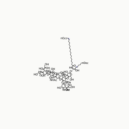 CCCCCCCC/C=C\CCCCCCCCCCCCCCCC(=O)N[C@@H](CO[C@@H]1OC(CO)[C@@H](O[C@@H]2OC(CO)[C@H](O[C@@H]3OC(CO)[C@H](O)[C@H](O[C@@H]4OC(CO)[C@H](O)[C@H](O[C@]5(C(=O)O)CC(O)[C@@H](NC(=O)CO)C([C@H](O)[C@H](O)CO)O5)C4O)C3NC(C)=O)[C@H](O[C@]3(C(=O)O)CC(O)[C@@H](NC(C)=O)C([C@H](O)[C@H](O)CO)O3)C2O)[C@H](O)C1O)[C@H](O)/C=C/CCCCCCCCCCCCC